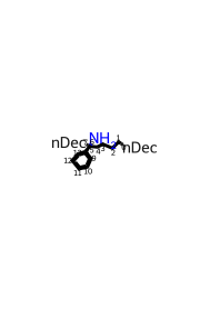 CCCCCCCCCCCCCCC(N)(CCCCCCCCCC)c1ccccc1